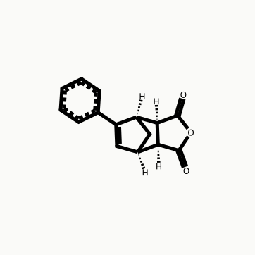 O=C1OC(=O)[C@H]2[C@@H]1[C@H]1C=C(c3ccccc3)[C@@H]2C1